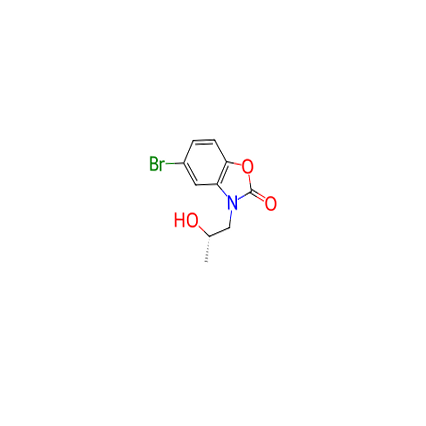 C[C@H](O)Cn1c(=O)oc2ccc(Br)cc21